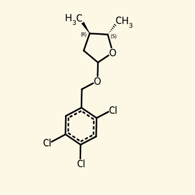 C[C@@H]1CC(OCc2cc(Cl)c(Cl)cc2Cl)O[C@H]1C